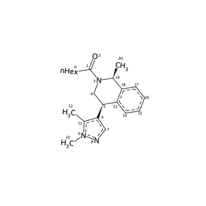 CCCCCCC(=O)N1C[C@H](c2cnn(C)c2C)c2ccccc2[C@@H]1C